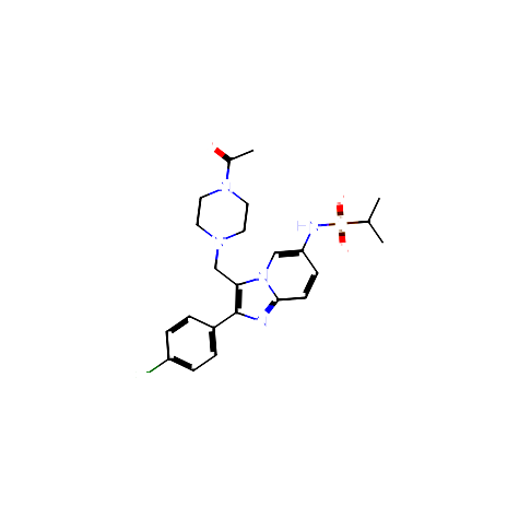 CC(=O)N1CCN(Cc2c(-c3ccc(Cl)cc3)nc3ccc(NS(=O)(=O)C(C)C)cn23)CC1